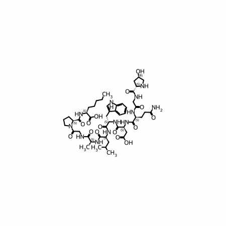 CCCCC[C@H](NC(=O)[C@@H]1CCCN1C(=O)CNC(=O)[C@H](C)NC(=O)[C@H](CC(C)C)NC(=O)[C@H](Cc1c[nH]c2ccccc12)NC(=O)[C@H](CC(=O)O)NC(=O)[C@H](CCC(N)=O)NC(=O)CNC(=O)[C@@H]1C[C@@H](O)CN1)C(=O)O